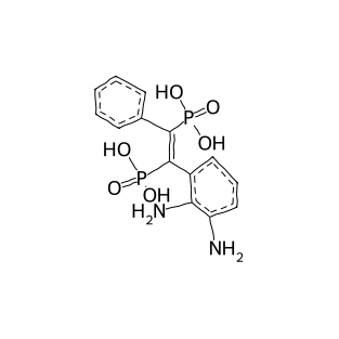 Nc1cccc(C(=C(c2ccccc2)P(=O)(O)O)P(=O)(O)O)c1N